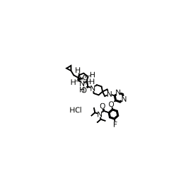 CC(C)N(C(=O)c1cc(F)ccc1Oc1cncnc1N1CC2(CCN(C(=O)[C@H]3N[C@H]4CC[C@@H]3C[C@H]4CC3CC3)CC2)C1)C(C)C.Cl